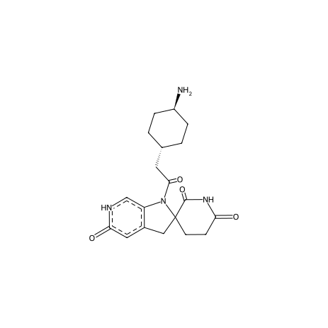 N[C@H]1CC[C@H](CC(=O)N2c3c[nH]c(=O)cc3CC23CCC(=O)NC3=O)CC1